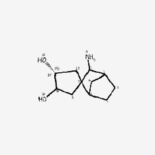 NC1C2CCC(C2)C12CC(O)[C@H](O)C2